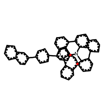 c1ccc(-c2ccccc2N(c2ccc(-c3ccc(-c4ccc5ccccc5c4)cc3)cc2)c2ccccc2-c2cccc3oc4c5ccccc5ccc4c23)cc1